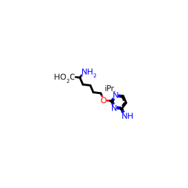 CC(C)n1ccc(=N)nc1OCCCCC(N)C(=O)O